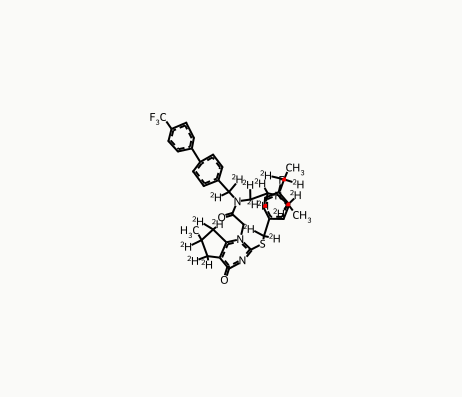 [2H]C([2H])(Sc1nc(=O)c2c(n1CC(=O)N(C([2H])([2H])c1ccc(-c3ccc(C(F)(F)F)cc3)cc1)C([2H])([2H])C([2H])([2H])N(C([2H])([2H])C)C([2H])([2H])C)C([2H])([2H])C([2H])(C)C2([2H])[2H])c1ccc(F)cc1